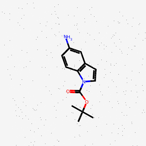 CC(C)(C)OC(=O)n1ccc2cc(N)ccc21